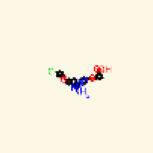 Nc1nc2c(c(N3CCN(CCOCc4cccc(C(=O)O)c4)CC3)n1)CCc1cc(OCc3ccc(Cl)cc3)ccc1-2